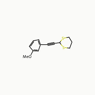 COc1cccc(C#CC2SCCCS2)c1